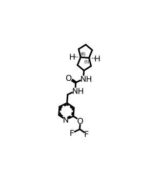 O=C(NCc1ccnc(OC(F)F)c1)NC1C[C@H]2CCC[C@H]2C1